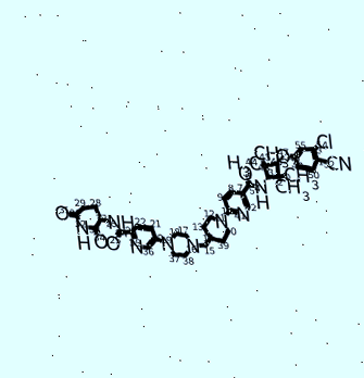 CC1(C)[C@H](NC(=O)c2ccc(N3CCC(CN4CCN(c5ccc(C(=O)NC6CCC(=O)NC6=O)nc5)CC4)CC3)nc2)C(C)(C)[C@H]1Oc1ccc(C#N)c(Cl)c1